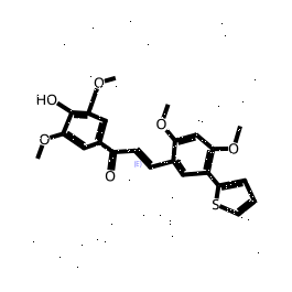 COc1cc(OC)c(-c2cccs2)cc1/C=C/C(=O)c1cc(OC)c(O)c(OC)c1